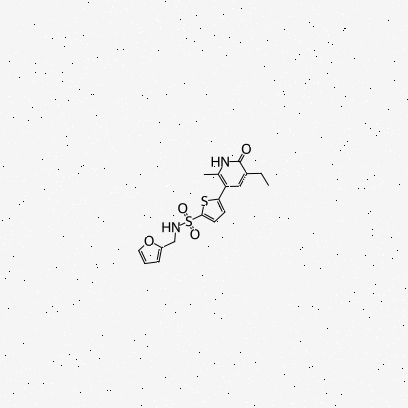 CCc1cc(-c2ccc(S(=O)(=O)NCc3ccco3)s2)c(C)[nH]c1=O